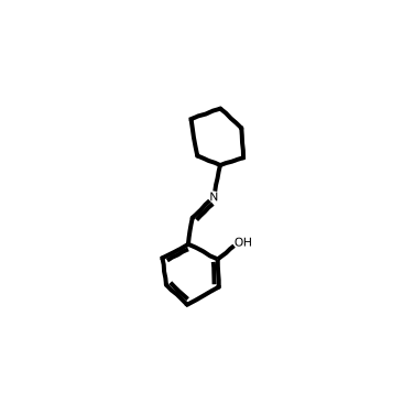 Oc1ccccc1C=NC1CCCCC1